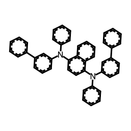 c1ccc(-c2cccc(N(c3ccccc3)c3ccc(N(c4ccccc4)c4cccc(-c5ccccc5)c4)c4ccccc34)c2)cc1